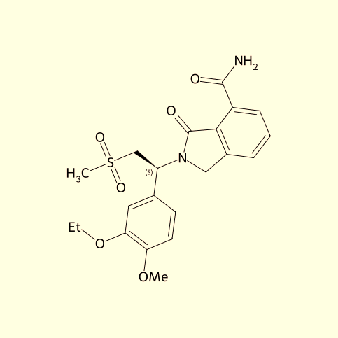 CCOc1cc([C@@H](CS(C)(=O)=O)N2Cc3cccc(C(N)=O)c3C2=O)ccc1OC